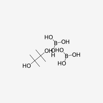 CC(C)(O)C(C)(C)O.OB(O)O.OB(O)O